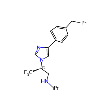 CC(C)Cc1ccc(-c2cn([C@@H](CNC(C)C)C(F)(F)F)cn2)cc1